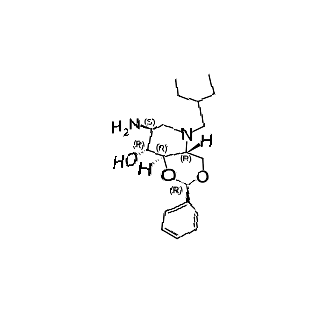 CCC(CC)CN1C[C@H](N)[C@@H](O)[C@@H]2O[C@H](c3ccccc3)OC[C@H]21